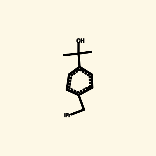 CC(C)Cc1ccc(C(C)(C)O)cc1